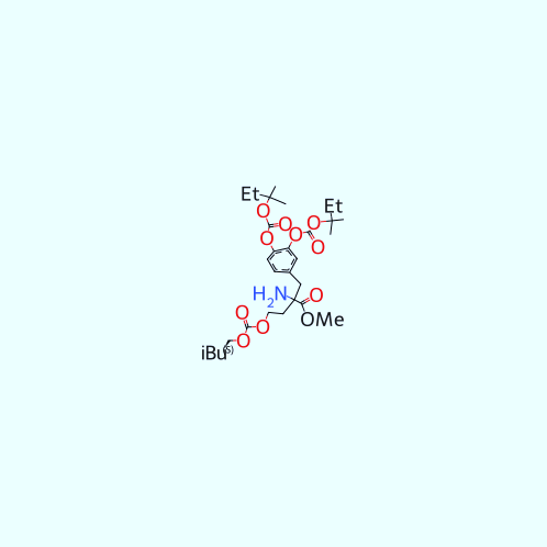 CC[C@H](C)COC(=O)OCCC(N)(Cc1ccc(OC(=O)OC(C)(C)CC)c(OC(=O)OC(C)(C)CC)c1)C(=O)OC